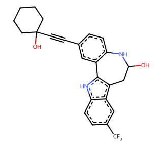 OC1Cc2c([nH]c3ccc(C(F)(F)F)cc23)-c2cc(C#CC3(O)CCCCC3)ccc2N1